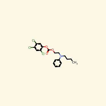 CCCCN(CCOC(=O)Oc1cc(Cl)c(Cl)cc1Cl)c1ccccc1